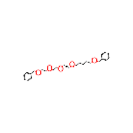 c1ccc(COCCCCCOCCOCCOCCOCc2ccccc2)cc1